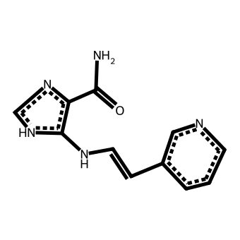 NC(=O)c1nc[nH]c1NC=Cc1cccnc1